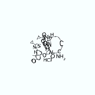 COc1ccc2c(O[C@@H]3C[C@H]4C(=O)N[C@]5(C(=O)NS(=O)(=O)C6CC6)C[C@H]5C=CCCCCC[C@H](N)C(=O)N4C3)cc(-c3nc(C4CC4)cs3)nc2c1C.Cl